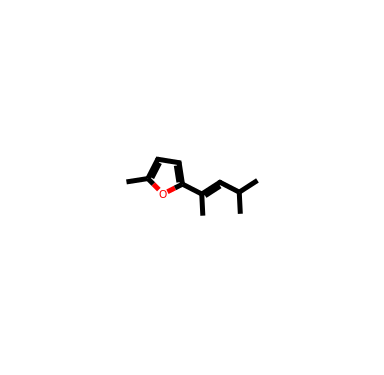 C/C(=C\C(C)C)c1ccc(C)o1